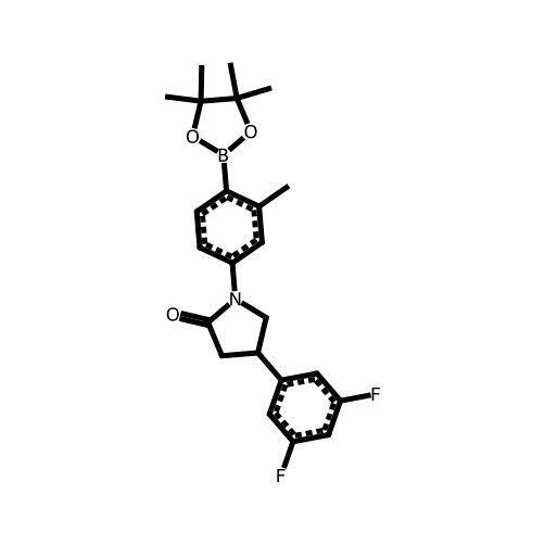 Cc1cc(N2CC(c3cc(F)cc(F)c3)CC2=O)ccc1B1OC(C)(C)C(C)(C)O1